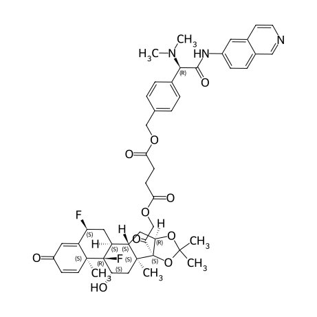 CN(C)[C@@H](C(=O)Nc1ccc2cnccc2c1)c1ccc(COC(=O)CCC(=O)OCC(=O)[C@@]23OC(C)(C)O[C@@H]2C[C@H]2[C@@H]4C[C@H](F)C5=CC(=O)C=C[C@]5(C)[C@@]4(F)[C@@H](O)C[C@@]23C)cc1